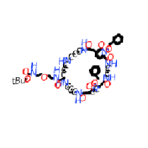 CC(C)(C)OC(=O)NCCOCCNC(=O)C1CCCNCCCNC(=O)c2ccc(n(OCc3ccccc3)c2=O)C(=O)NCCNC(=O)c2ccc(c(=O)n2OCc2ccccc2)C(=O)NCCCN1